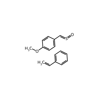 C=Cc1ccccc1.COc1ccc(C=S=O)cc1